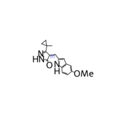 COc1ccc2[nH]c(/C=C3\C(=O)NN=C3C3(C)CC3)cc2c1